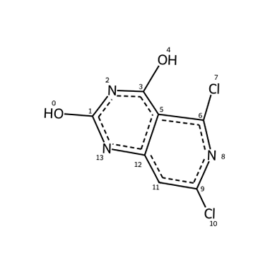 Oc1nc(O)c2c(Cl)nc(Cl)cc2n1